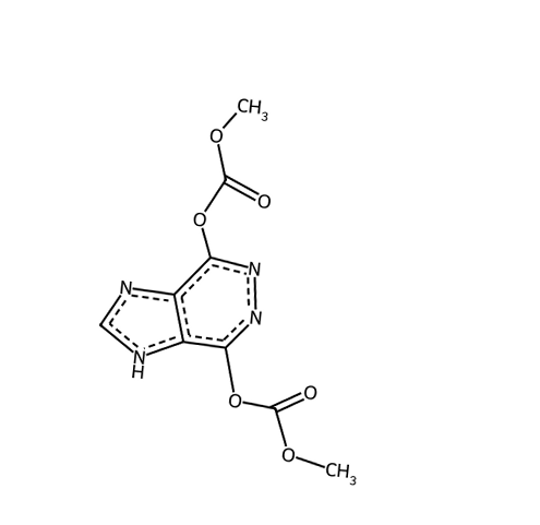 COC(=O)Oc1nnc(OC(=O)OC)c2[nH]cnc12